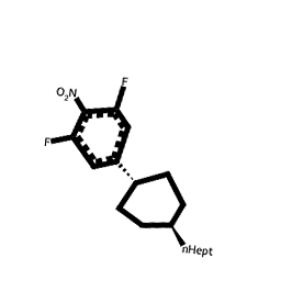 CCCCCCC[C@H]1CC[C@H](c2cc(F)c([N+](=O)[O-])c(F)c2)CC1